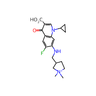 C[N+]1(C)CCC(CNc2cc3c(cc2F)c(=O)c(C(=O)O)cn3C2CC2)C1